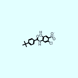 CC(C)(C)c1ccc(C(=O)Nc2cc(Cl)c([N+](=O)[O-])cc2O)cc1